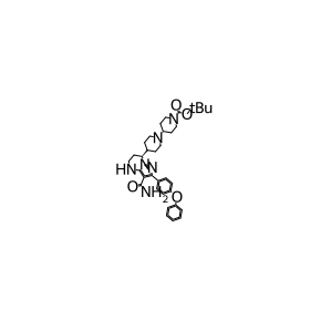 CC(C)(C)OC(=O)N1CCC(N2CCC([C@@H]3CCNc4c(C(N)=O)c(-c5ccc(Oc6ccccc6)cc5)nn43)CC2)CC1